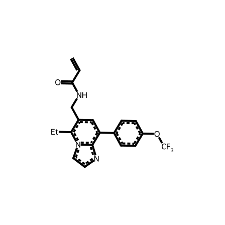 C=CC(=O)NCc1cc(-c2ccc(OC(F)(F)F)cc2)c2nccn2c1CC